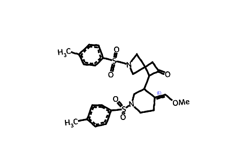 CO/C=C1\CCN(S(=O)(=O)c2ccc(C)cc2)CC1C1C(=O)CC12CN(S(=O)(=O)c1ccc(C)cc1)C2